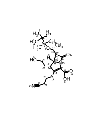 C[C@@H](O[Si](C)(C)C(C)(C)C)[C@H]1C(=O)N2C(C(=O)O)=C(SCCC#N)[C@H](CCO)[C@H]12